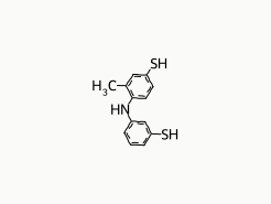 Cc1cc(S)ccc1Nc1cccc(S)c1